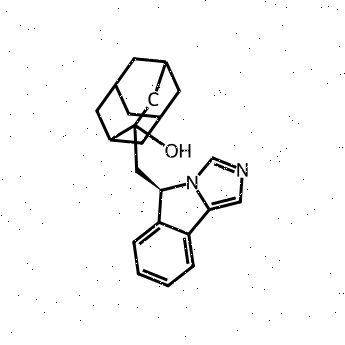 OC1(C[C@@H]2c3ccccc3-c3cncn32)CC2CC3CC(C2)CC1C3